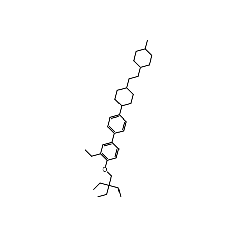 CCc1cc(-c2ccc(C3CCC(CCC4CCC(C)CC4)CC3)cc2)ccc1OCC(CC)(CC)CC